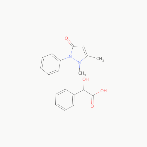 Cc1cc(=O)n(-c2ccccc2)n1C.O=C(O)C(O)c1ccccc1